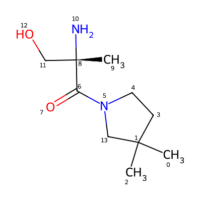 CC1(C)CCN(C(=O)[C@@](C)(N)CO)C1